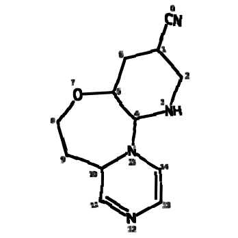 N#CC1CNC2C(C1)OCCC1C=NC=CN12